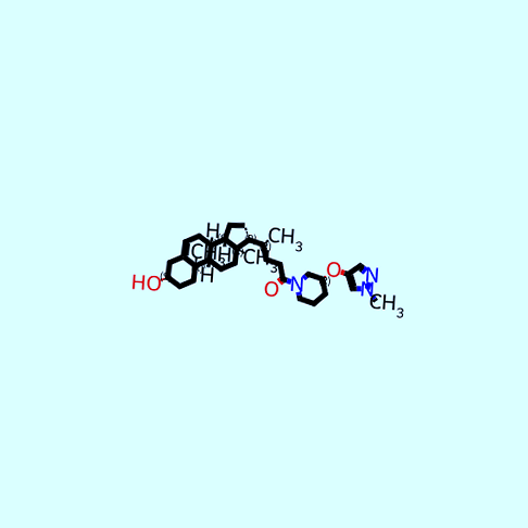 C[C@H](CCC(=O)N1CCC[C@@H](Oc2cnn(C)c2)C1)[C@H]1CC[C@H]2[C@@H]3CC=C4C[C@@H](O)CC[C@]4(C)[C@H]3CC[C@]12C